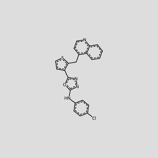 Clc1ccc(Nc2nnc(-c3ccsc3Cc3ccnc4ccccc34)o2)cc1